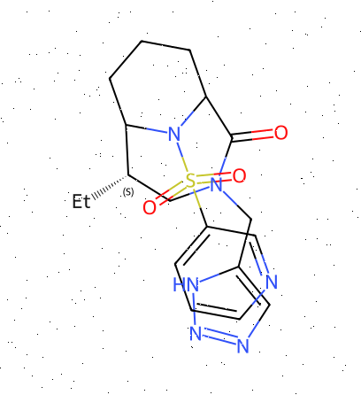 CC[C@H]1CN(Cc2cnn[nH]2)C(=O)C2CCCC1N2S(=O)(=O)c1cccnc1